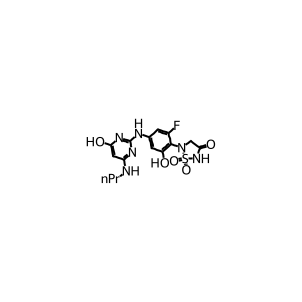 CCCNc1cc(O)nc(Nc2cc(O)c(N3CC(=O)NS3(=O)=O)c(F)c2)n1